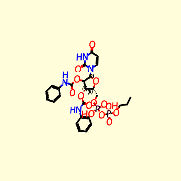 CCCOP(=O)(O)OP(=O)(O)OC[C@H]1O[C@@H](n2ccc(=O)[nH]c2=O)C(OC(=O)Nc2ccccc2)[C@H]1OC(=O)Nc1ccccc1